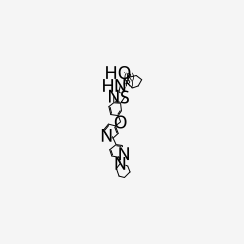 O[C@@H]1CCCC[C@H]1Nc1nc2ccc(Oc3ccnc(-c4ccc(N5CCCCC5)nc4)c3)cc2s1